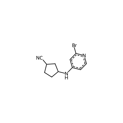 N#CC1CCC(Nc2ccnc(Br)c2)C1